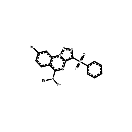 CCN(CC)c1nc2c(S(=O)(=O)c3ccccc3)nnn2c2cc(Br)ccc12